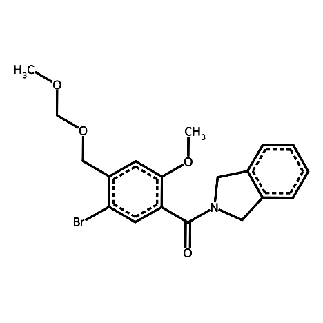 COCOCc1cc(OC)c(C(=O)N2Cc3ccccc3C2)cc1Br